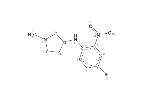 CN1CCC(Nc2ccc(Br)cc2[N+](=O)[O-])C1